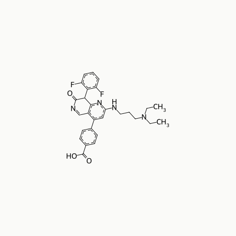 CCN(CC)CCCNc1cc(-c2ccc(C(=O)O)cc2)c2c(n1)C(c1c(F)cccc1F)C(=O)N=C2